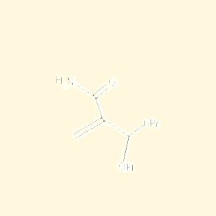 C=C(C(N)=O)C(O)CCC